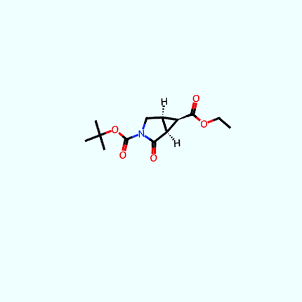 CCOC(=O)[C@@H]1[C@@H]2CN(C(=O)OC(C)(C)C)C(=O)[C@@H]21